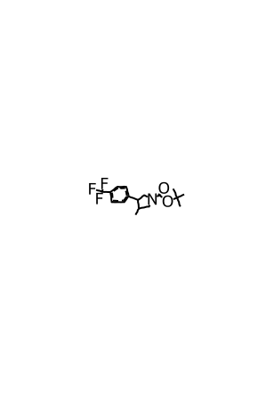 CC1CN(C(=O)OC(C)(C)C)CC1c1ccc(C(F)(F)F)cc1